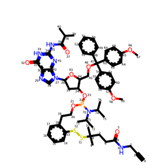 C#CCNC(=O)CCC(C)(C)SSc1ccccc1CCOP(OC1CC(n2cnc3c(=O)[nH]c(NC(=O)C(C)C)nc32)OC1COC(c1ccccc1)(c1ccc(OC)cc1)c1ccc(OC)cc1)N(C(C)C)C(C)C